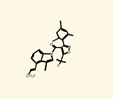 CC1=CC(C)=C(c2noc(C(C)(C)F)c2C(=O)n2cc(C)c3c(/C=C/C(=O)O)cccc32)C(C)C1